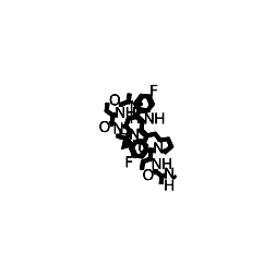 CCC(NC(=O)C(C)NC)C(=O)N1CCCC1Cc1c(-c2[nH]c3cc(F)ccc3c2CC2CC3(CC3)CN2C(=O)C(CC)NC(=O)C(C)NC)[nH]c2cc(F)ccc12